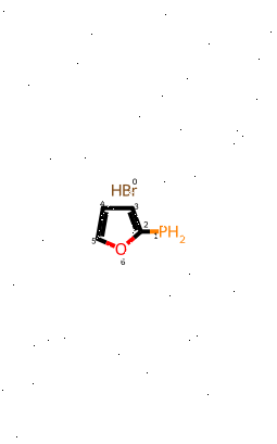 Br.Pc1ccco1